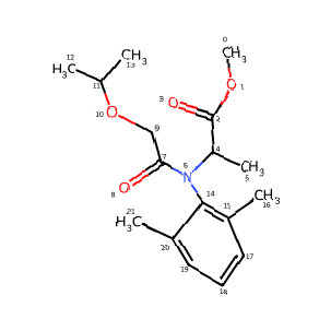 COC(=O)C(C)N(C(=O)COC(C)C)c1c(C)cccc1C